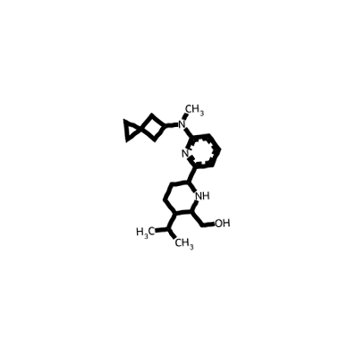 CC(C)C1CCC(c2cccc(N(C)C3CC4(CC4)C3)n2)NC1CO